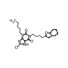 CCCCCn1c(=O)n(CCCCc2cc3ccccc3o2)c(=O)c2[nH]c(Cl)nc21